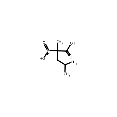 CC(C)CC(C)(C(=O)O)[PH](=O)O